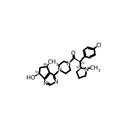 C[C@@H]1C[C@H](O)c2ncnc(N3CCN(C(=O)[C@@H](c4ccc(Cl)cc4)[C@@H]4CCCN4C)CC3)c21